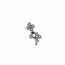 N#Cc1ccc2c(c1)c1cc3cc(c4ccccc4c4nc(-c5ccc([Si](c6ccccc6)(c6ccccc6)c6ccccc6)cc5)nc(n4)c4ccccc34)c1n2-c1ccccc1